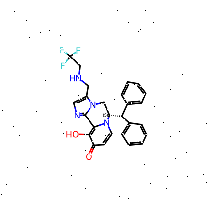 O=c1ccn2c(c1O)-c1ncc(CNCC(F)(F)F)n1C[C@@H]2C(c1ccccc1)c1ccccc1